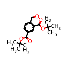 CC(C)(C)OC(=O)c1ccc(C=O)c(C(=O)OC(C)(C)C)c1